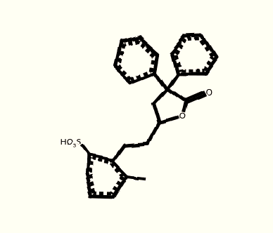 Cc1cccc(S(=O)(=O)O)c1CCC1CC(c2ccccc2)(c2ccccc2)C(=O)O1